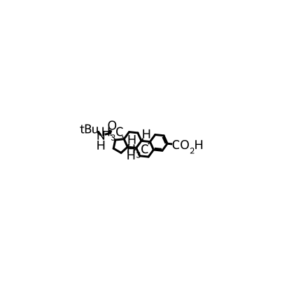 CC(C)(C)NC(=O)[C@H]1CC[C@H]2[C@@H]3CCC4=CC(C(=O)O)=CC[C@]4(C)[C@H]3CC[C@]12C